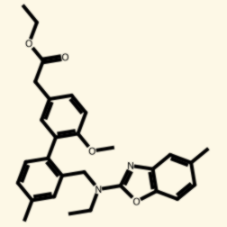 CCOC(=O)Cc1ccc(OC)c(-c2ccc(C)cc2CN(CC)c2nc3cc(C)ccc3o2)c1